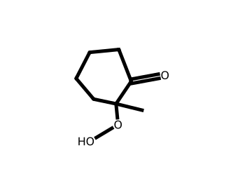 CC1(OO)CCCCC1=O